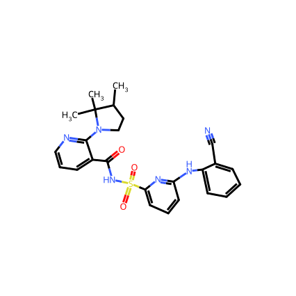 CC1CCN(c2ncccc2C(=O)NS(=O)(=O)c2cccc(Nc3ccccc3C#N)n2)C1(C)C